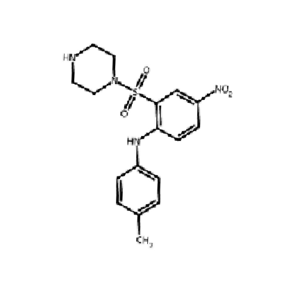 Cc1ccc(Nc2ccc([N+](=O)[O-])cc2S(=O)(=O)N2CCNCC2)cc1